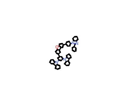 c1ccc(-c2nc3ccccc3n2-c2ccc(-c3ccc4oc5ccc(-c6cc(-n7c8ccccc8c8ccccc87)cc(-n7c8ccccc8c8ccccc87)c6)cc5c4c3)cc2)cc1